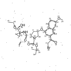 C=C[C@@H]1C[C@]1(NC(=O)[C@@H]1CC(Oc2cc(C(=O)CBr)nc3cc(OC)ccc23)CN1C(=O)OC(C)(C)C)[C@H](O)OCC